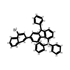 Brc1cc(-c2ccc3c(c2)C(c2ccccc2)c2cccc(N(c4ccccc4)c4ccccc4)c2-3)cc2ccccc12